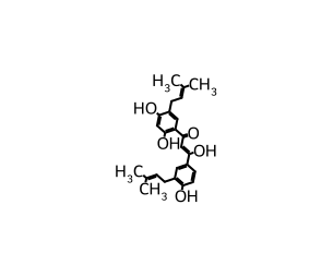 CC(C)=CCc1cc(/C(O)=C/C(=O)c2cc(CC=C(C)C)c(O)cc2O)ccc1O